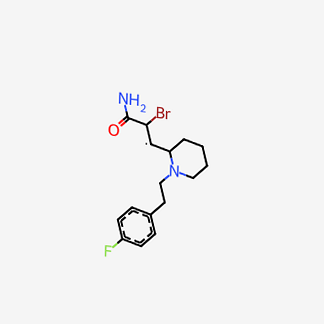 NC(=O)C(Br)[CH]C1CCCCN1CCc1ccc(F)cc1